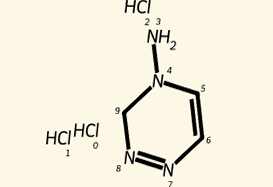 Cl.Cl.Cl.NN1C=CN=NC1